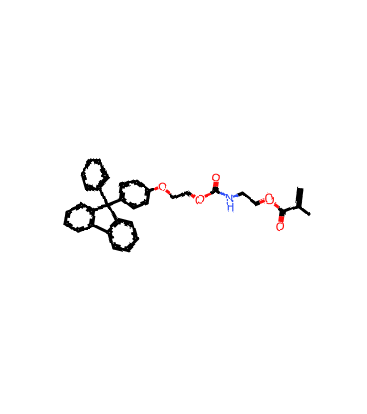 C=C(C)C(=O)OCCNC(=O)OCCOc1ccc(C2(c3ccccc3)c3ccccc3-c3ccccc32)cc1